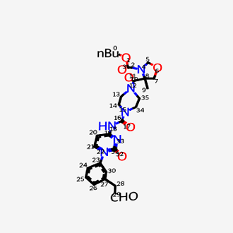 CCCCOC(=O)N1COCC1(C)C(=O)N1CCN(C(=O)Nc2ccn(-c3cccc(CC=O)c3)c(=O)n2)CC1